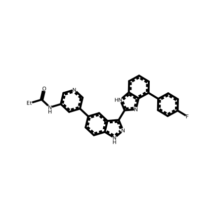 CCC(=O)Nc1cncc(-c2ccc3[nH]nc(-c4nc5c(-c6ccc(F)cc6)cccc5[nH]4)c3c2)c1